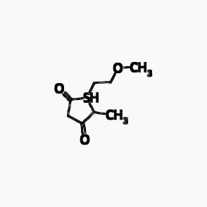 COCC[SH]1C(=O)CC(=O)C1C